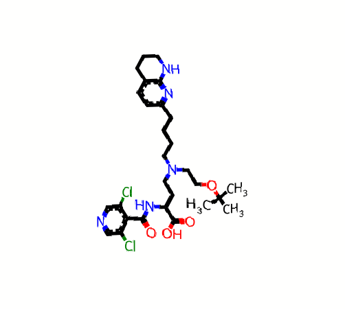 CC(C)(C)OCCN(CCCCc1ccc2c(n1)NCCC2)CCC(NC(=O)c1c(Cl)cncc1Cl)C(=O)O